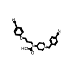 N#Cc1ccc(CN2CCC(N(CCCOc3ccc(C#N)cc3)C(=O)O)CC2)cc1